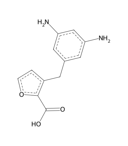 Nc1cc(N)cc(Cc2ccoc2C(=O)O)c1